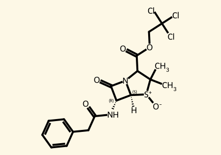 CC1(C)C(C(=O)OCC(Cl)(Cl)Cl)N2C(=O)[C@@H](NC(=O)Cc3ccccc3)[C@@H]2[S+]1[O-]